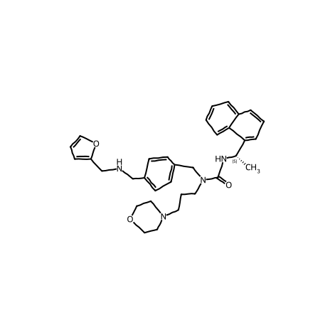 C[C@H](NC(=O)N(CCCN1CCOCC1)Cc1ccc(CNCc2ccco2)cc1)c1cccc2ccccc12